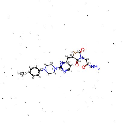 Cc1ccc(N2CCN(c3nccc(/C=C4/SC(=O)N(CC(N)=O)C4=O)n3)CC2)cc1